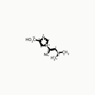 CN(C)C=C(C#N)n1cnc(C(=O)O)c1